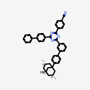 C[C@@H]1C[C@@H]2C[C@H](C)CC(c3ccc(-c4cccc(-c5nc(-c6ccc(C#N)cc6)nc(-c6ccc(-c7ccccc7)cc6)n5)c4)cc3)(C1)C2